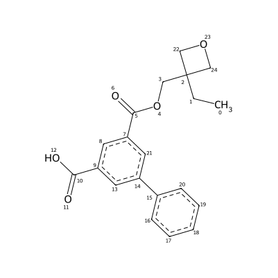 CCC1(COC(=O)c2cc(C(=O)O)cc(-c3ccccc3)c2)COC1